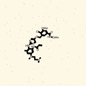 C=CC(=O)Nc1cc(N(C)CCN(C)C)cc(C)c1Nc1ncc(OCc2cc(C(=O)NOC)cc(OC)c2Cl)cn1